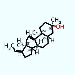 C/C=C1/CC[C@H]2[C@@H]3CC[C@H]4C[C@](C)(O)CC[C@]4(C)C3=CC[C@]12C